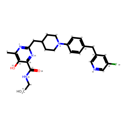 Cc1nc(CC2CCN(c3ccc(Cc4cncc(F)c4)cc3)CC2)nc(C(=O)NCC(=O)O)c1O